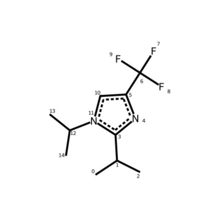 CC(C)c1nc(C(F)(F)F)cn1C(C)C